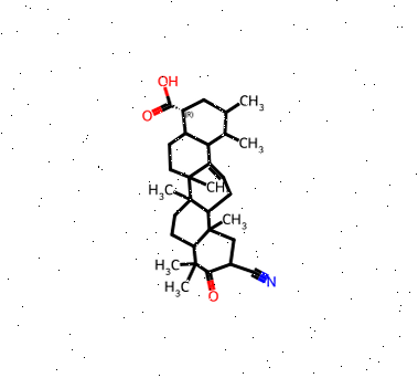 CC1C[C@@H](C(=O)O)C2CCC3(C)C(=CCC4C5(C)CC(C#N)C(=O)C(C)(C)C5CCC43C)C2C1C